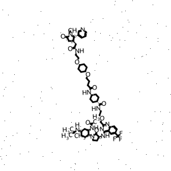 CC(=O)N[C@@H]1C[C@H](NC(C)(C)C)CC[C@@H]1N1CC[C@H](Nc2nc(COCCNC(=O)[C@H]3CC[C@H](NC(=O)CCCO[C@H]4CC[C@H](OCCNC(=O)C[C@H]5CC(=O)N(C)[C@@H]5c5cccnc5)CC4)CC3)nc3ccc(C(F)(F)F)cc23)C1=O